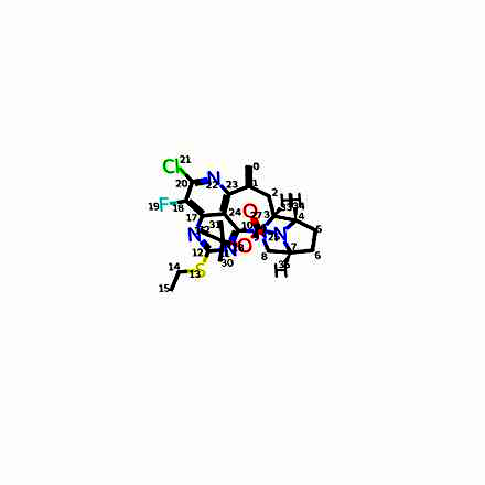 C=C1C[C@@H]2[C@@H]3CC[C@H](CN2c2nc(SCC)nc4c(F)c(Cl)nc1c24)N3C(=O)OC(C)(C)C